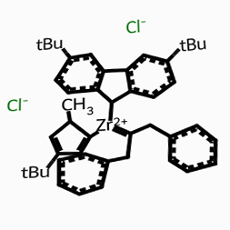 CC1C=C(C(C)(C)C)C=[C]1[Zr+2](=[C](Cc1ccccc1)Cc1ccccc1)[CH]1c2ccc(C(C)(C)C)cc2-c2cc(C(C)(C)C)ccc21.[Cl-].[Cl-]